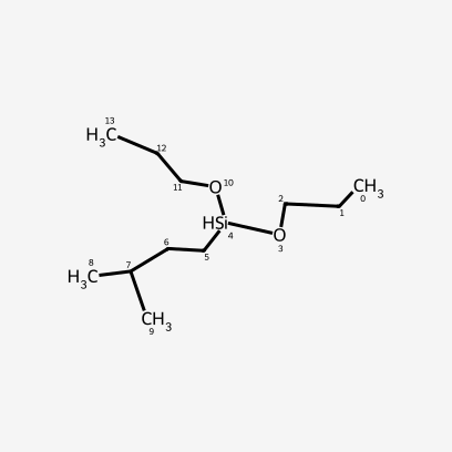 CCCO[SiH](CCC(C)C)OCCC